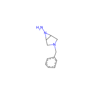 NN1C2CN(Cc3ccccc3)CC21